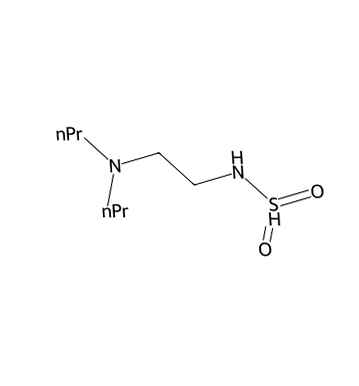 CCCN(CCC)CCN[SH](=O)=O